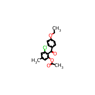 CCOc1ccc(C(=O)c2c(Cl)cc(C)cc2OC(C)=O)cc1